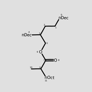 CCCCCCCCCCCCC(CCCCCCCCCC)COC(=O)C(C)CCCCCCCC